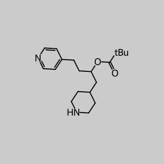 CC(C)(C)C(=O)OC(CCc1ccncc1)CC1CCNCC1